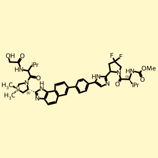 COC(=O)N[C@H](C(=O)N1CC(F)(F)CC1c1ncc(-c2ccc(-c3ccc4c(ccc5nc([C@@H]6C[Si](C)(C)CN6C(=O)C(NC(=O)CO)C(C)C)[nH]c54)c3)cc2)[nH]1)C(C)C